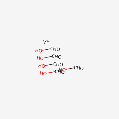 O=[C-]O.O=[C-]O.O=[C-]O.O=[C-]O.O=[C-]O.[V+5]